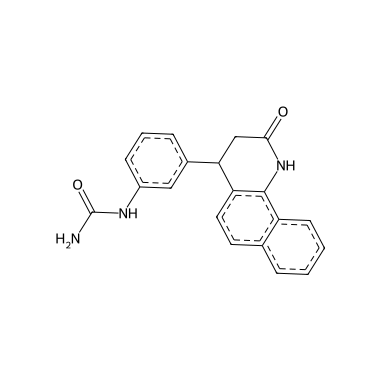 NC(=O)Nc1cccc(C2CC(=O)Nc3c2ccc2ccccc32)c1